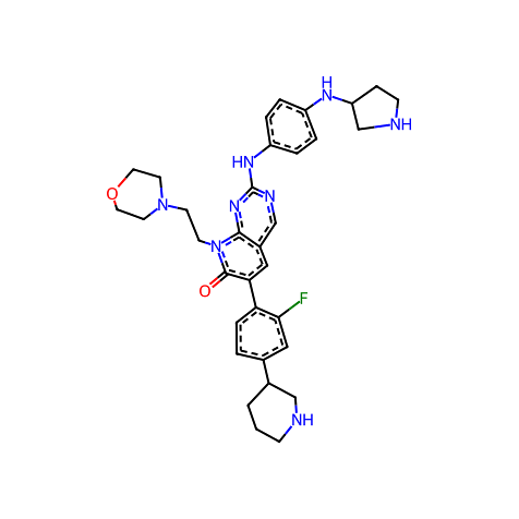 O=c1c(-c2ccc(C3CCCNC3)cc2F)cc2cnc(Nc3ccc(NC4CCNC4)cc3)nc2n1CCN1CCOCC1